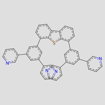 c1cncc(-c2cc(-c3cccnc3)cc(-c3cccc4c3sc3c(-c5cc(-c6cccnc6)cc(-c6cccnc6)c5)cccc34)c2)c1